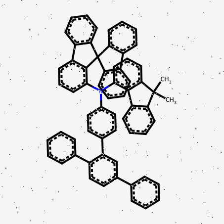 CC1(C)c2ccccc2-c2c(N(c3ccc(-c4cc(-c5ccccc5)ccc4-c4ccccc4)cc3)c3cccc4c3C3(c5ccccc5-c5ccccc53)c3ccccc3-4)cccc21